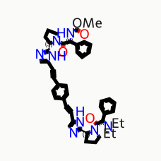 CCN(CC)[C@@H](C(=O)N1CCC[C@H]1c1ncc(C#Cc2ccc(C#Cc3cnc([C@@H]4CCCN4C(=O)[C@H](NC(=O)OC)c4ccccc4)[nH]3)cc2)[nH]1)c1ccccc1